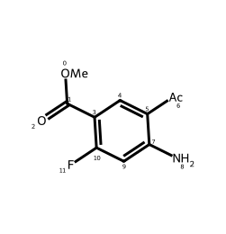 COC(=O)c1cc(C(C)=O)c(N)cc1F